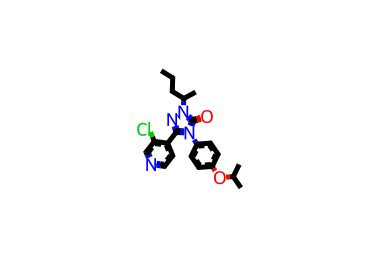 CCCC(C)n1nc(-c2ccncc2Cl)n(-c2ccc(OC(C)C)cc2)c1=O